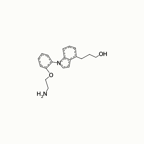 NCCOc1ccccc1-n1ccc2c(CCCO)cccc21